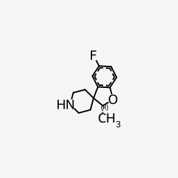 C[C@H]1Oc2ccc(F)cc2C12CCNCC2